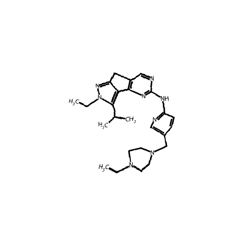 CCN1CCN(Cc2ccc(Nc3ncc4c(n3)-c3c(nn(CC)c3C(C)C)C4)nc2)CC1